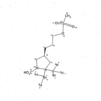 [2H]C([2H])([2H])C1(C([2H])([2H])[2H])C[C@H](CCCOS(C)(=O)=O)CN1C(=O)O